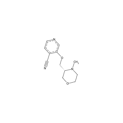 CN1CCOC[C@@H]1COc1cnccc1C#N